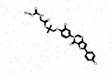 CCc1cc(-n2cnc3cc(-c4ccc(Cl)cc4)sc3c2=O)ccc1OCC(C)(C)OC(=O)CNC(=O)OC(C)(C)C